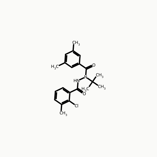 Cc1cc(C)cc(C(=O)N(NC(=O)c2cccc(C)c2Cl)C(C)(C)C)c1